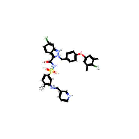 Cc1cc(Oc2ccc(Cn3nc4cc(Cl)ccc4c3C(=O)NS(=O)(=O)c3ccc([N+](=O)[O-])c(NCc4cccnc4)c3)cc2)cc(C)c1Cl